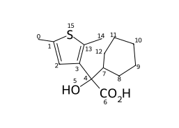 Cc1cc(C(O)(C(=O)O)C2CCCCC2)c(C)s1